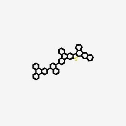 c1ccc2cc3c(cc2c1)c1ccccc1c1c2cc4c5ccccc5c5cc(-c6ccc(-c7ccc8c9ccccc9c9ccccc9c8c7)c7ccccc67)ccc5c4cc2sc31